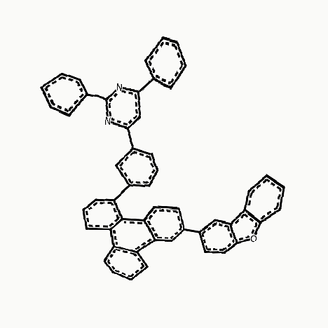 c1ccc(-c2cc(-c3cccc(-c4cccc5c6ccccc6c6cc(-c7ccc8oc9ccccc9c8c7)ccc6c45)c3)nc(-c3ccccc3)n2)cc1